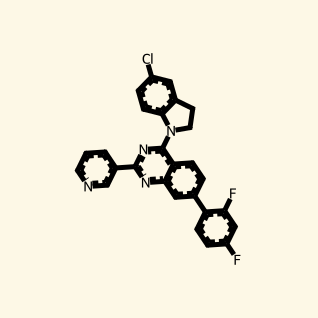 Fc1ccc(-c2ccc3c(N4CCc5cc(Cl)ccc54)nc(-c4cccnc4)nc3c2)c(F)c1